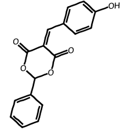 O=C1OC(c2ccccc2)OC(=O)C1=Cc1ccc(O)cc1